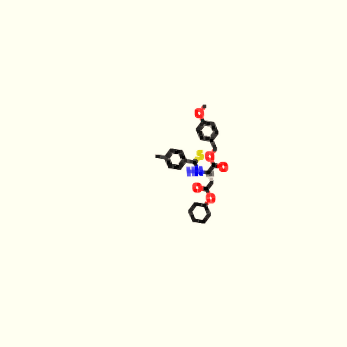 COc1ccc(COC(=O)[C@H](CC(=O)OC2CCCCC2)NC(=S)c2ccc(C)cc2)cc1